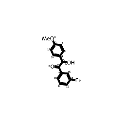 COc1ccc(C(O)C(=O)c2cccc(F)c2)cc1